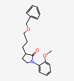 COc1ccccc1N1CCC(CCCOCc2ccccc2)C1=O